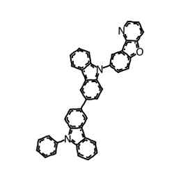 c1ccc(-n2c3ccccc3c3cc(-c4ccc5c(c4)c4ccccc4n5-c4ccc5oc6cccnc6c5c4)ccc32)cc1